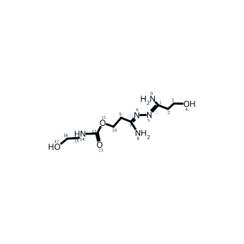 N/C(CCO)=N\N=C(/N)CCOC(=O)NCCO